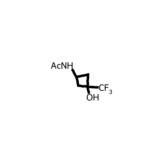 CC(=O)NC1CC(O)(C(F)(F)F)C1